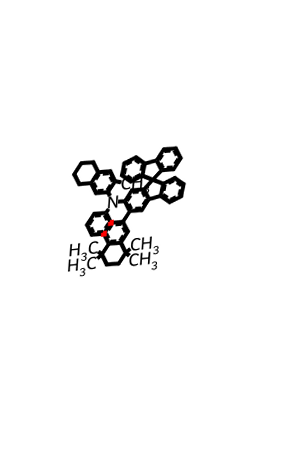 Cc1cc2c(cc1N(c1ccccc1)c1cc3c(cc1-c1ccc4c(c1)C(C)(C)CCC4(C)C)-c1ccccc1C31c3ccccc3-c3ccccc31)CCCC2